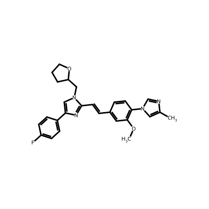 COc1cc(/C=C/c2nc(-c3ccc(F)cc3)cn2CC2CCCO2)ccc1-n1cnc(C)c1